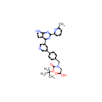 Cc1cccc(-c2nc(-c3cncc(-c4ccc(CN(CC(=O)O)C(=O)OC(C)(C)C)cc4)c3)c3cc[nH]c3n2)n1